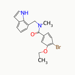 CCOc1cc(C(=O)N(C)Cc2cccc3cc[nH]c23)ccc1Br